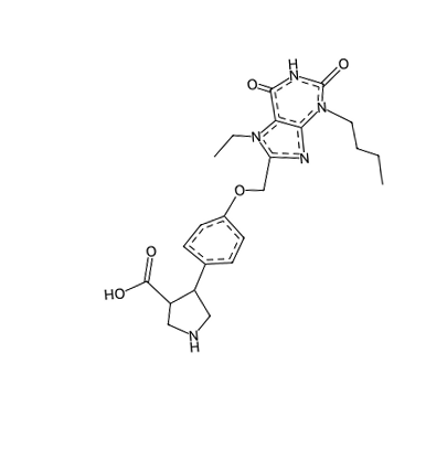 CCCCn1c(=O)[nH]c(=O)c2c1nc(COc1ccc(C3CNCC3C(=O)O)cc1)n2CC